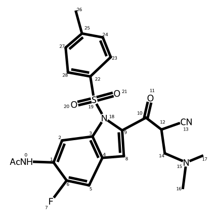 CC(=O)Nc1cc2c(cc1F)cc(C(=O)C(C#N)CN(C)C)n2S(=O)(=O)c1ccc(C)cc1